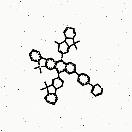 CC1C=C(c2c3ccc(-c4ccc(C5=CC=CCC5)cc4)cc3c(C3=CCC4C(=C3)C(C)(C)c3ccccc34)c3cc4c(cc23)-c2ccccc2S4(C)C)C=C2C1C1C=CC=CC1C2(C)C